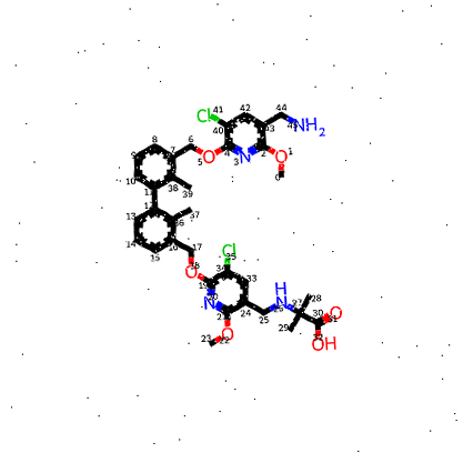 COc1nc(OCc2cccc(-c3cccc(COc4nc(OC)c(CNC(C)(C)C(=O)O)cc4Cl)c3C)c2C)c(Cl)cc1CN